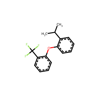 CC(C)c1ccccc1Oc1ccccc1C(F)(F)F